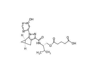 CC(C)[C@@H](COC(=O)CCCC(=O)O)NC(=O)c1nn(-c2c[n+](O)ccn2)c2c1C[C@H]1C[C@@H]21